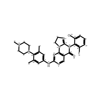 Cc1cc(Nc2ncc3c(n2)N2CCN=C2N(c2c(F)cccc2Cl)C3=O)cc(C)c1N1CCN(C)CC1